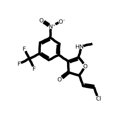 CNC1=C(c2cc([N+](=O)[O-])cc(C(F)(F)F)c2)C(=O)C(C=CCl)O1